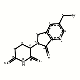 CC(C)Cc1cnc2c(c1)CN(C1CCC(=O)NC1=O)C2=O